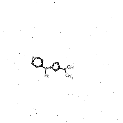 CCN(c1ccncc1)n1ccc(C(C)O)c1